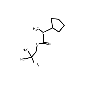 CN(C(=O)OCC(C)(C)O)C1CCCC1